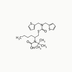 CCCCC(CSC(=O)N(Cc1cccs1)Cc1cccs1)N(C(=O)O)C(C)(C)C